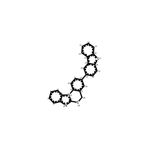 c1ccc2c(c1)nc1n2-c2ccc(-c3ccc4sc5ccccc5c4c3)cc2CS1